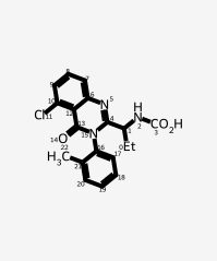 CCC(NC(=O)O)c1nc2cccc(Cl)c2c(=O)n1-c1ccccc1C